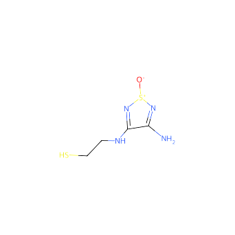 Nc1n[s+]([O-])nc1NCCS